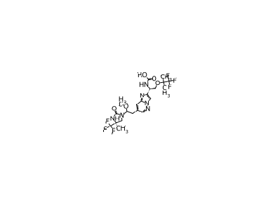 COC(Cc1cnn2cc([C@H](COC(C)(C)C(F)(F)F)NC(=O)O)nc2c1)N1C[C@@](C)(C(F)(F)F)NC1=O